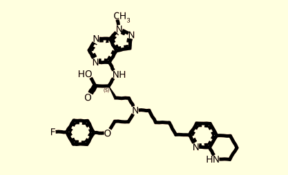 Cn1ncc2c(N[C@@H](CCN(CCCCc3ccc4c(n3)NCCC4)CCOc3ccc(F)cc3)C(=O)O)ncnc21